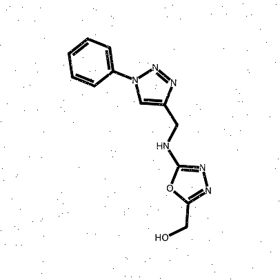 OCc1nnc(NCc2cn(-c3ccccc3)nn2)o1